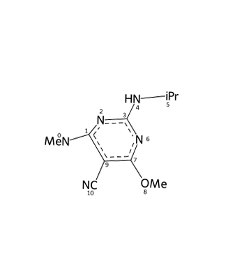 CNc1nc(NC(C)C)nc(OC)c1C#N